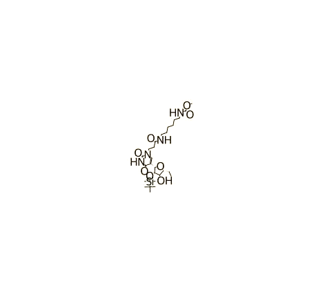 CC[C@H]1O[C@@H](c2cn(CCC(=O)NCCCCCCNC(=O)OC)c(=O)[nH]c2=O)[C@@H](O[Si](C)(C)C(C)(C)C)C1O